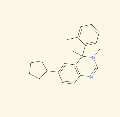 Cc1ccccc1C1(C)c2cc(C3CCCC3)ccc2N=CN1C